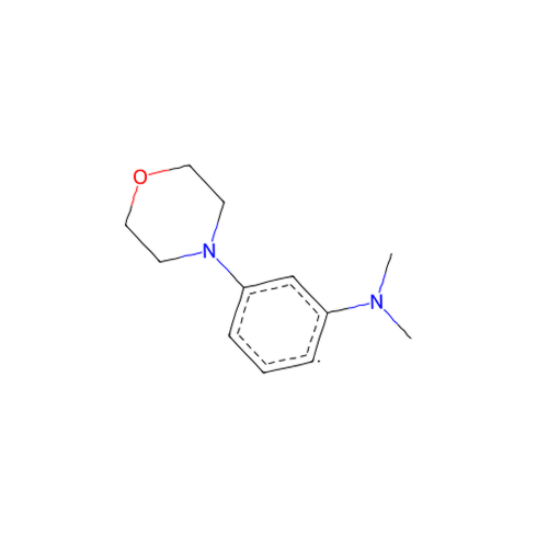 CN(C)c1[c]ccc(N2CCOCC2)c1